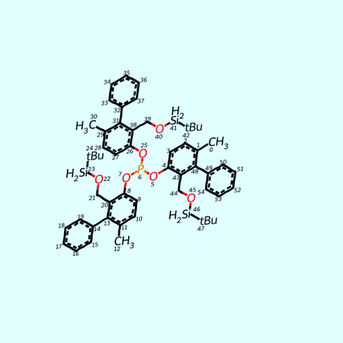 Cc1ccc(OP(Oc2ccc(C)c(-c3ccccc3)c2CO[SiH2]C(C)(C)C)Oc2ccc(C)c(-c3ccccc3)c2CO[SiH2]C(C)(C)C)c(CO[SiH2]C(C)(C)C)c1-c1ccccc1